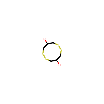 O[C@H]1CSSC[C@@H](O)CSSC1